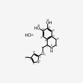 Cc1csc(OCC2NCCc3cc(O)c(O)cc32)c1.Cl